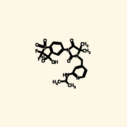 CC(C)Nc1cc(CN2C(=O)N(c3ccc4c(c3)C(O)(O)C(F)(F)S4(=O)=O)C(=O)C2(C)C)ccn1